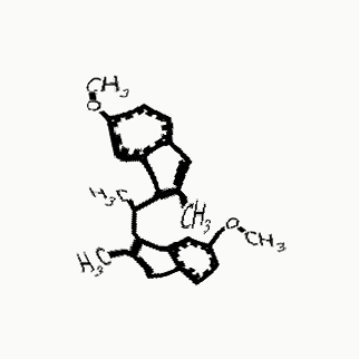 COc1ccc2c(c1)C(C(C)C1C(C)=Cc3ccc(OC)cc31)C(C)=C2